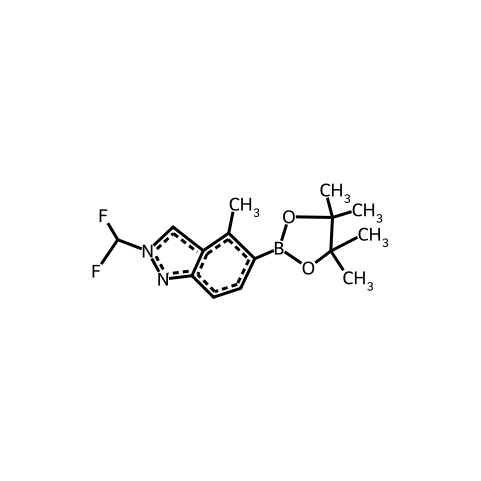 Cc1c(B2OC(C)(C)C(C)(C)O2)ccc2nn(C(F)F)cc12